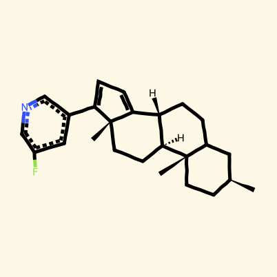 C[C@H]1CC[C@@]2(C)C(CC[C@H]3C4=CC=C(c5cncc(F)c5)[C@@]4(C)CC[C@@H]32)C1